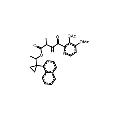 COc1ccnc(C(=O)NC(C)C(=O)OC(C)C2(c3cccc4ccccc34)CC2)c1OC(C)=O